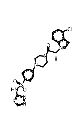 C[C@@H](C(=O)N1CCN(c2ccc(S(=O)(=O)Nc3nncs3)cc2)CC1)n1ccc2c(Cl)cccc21